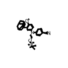 COc1ccc(N(CCO[Si](C)(C)C(C)(C)C)c2ccc(C#N)cc2)cc1C12CC3CC(CC(C3)C1)C2